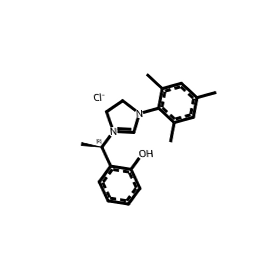 Cc1cc(C)c(N2C=[N+]([C@H](C)c3ccccc3O)CC2)c(C)c1.[Cl-]